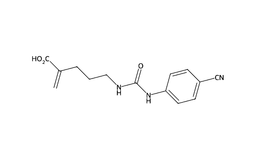 C=C(CCCNC(=O)Nc1ccc(C#N)cc1)C(=O)O